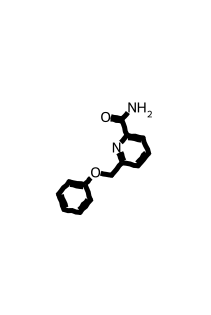 NC(=O)c1cccc(COc2ccccc2)n1